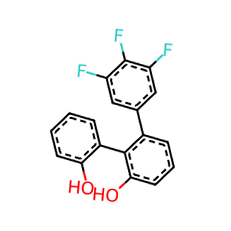 Oc1ccccc1-c1c(O)cccc1-c1cc(F)c(F)c(F)c1